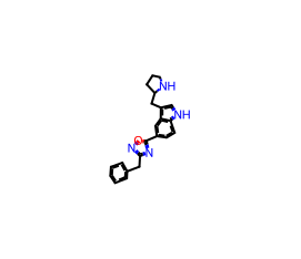 c1ccc(Cc2noc(-c3ccc4[nH]cc(CC5CCCN5)c4c3)n2)cc1